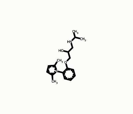 Cc1ccc(C)n1-c1ccccc1OCC(O)CNC(C)C